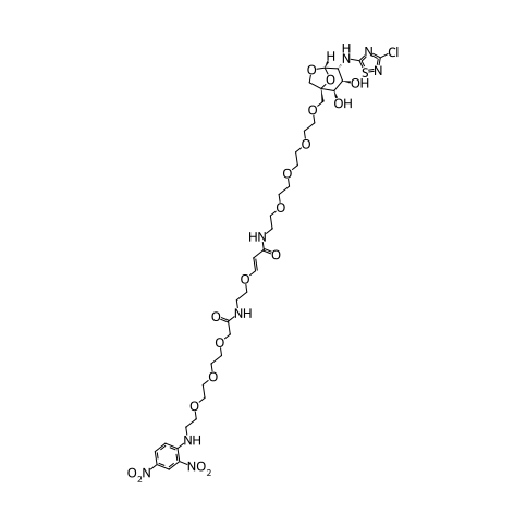 O=C(C=COCCNC(=O)COCCOCCOCCNc1ccc([N+](=O)[O-])cc1[N+](=O)[O-])NCCOCCOCCOCCOC[C@@]12CO[C@@H](O1)[C@H](Nc1nc(Cl)ns1)[C@@H](O)[C@H]2O